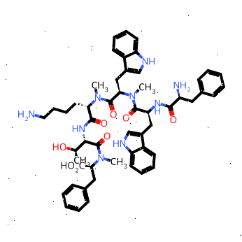 C[C@@H](O)[C@H](NC(=O)[C@H](CCCCN)N(C)C(=O)[C@@H](Cc1c[nH]c2ccccc12)N(C)C(=O)[C@H](Cc1c[nH]c2ccccc12)NC(=O)[C@@H](N)Cc1ccccc1)C(=O)N(C)[C@@H](Cc1ccccc1)C(=O)O